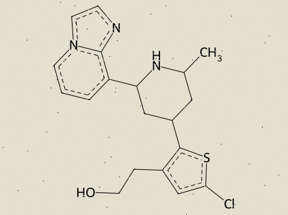 CC1CC(c2sc(Cl)cc2CCO)CC(c2cccn3ccnc23)N1